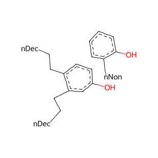 CCCCCCCCCCCCc1ccc(O)cc1CCCCCCCCCCCC.CCCCCCCCCc1ccccc1O